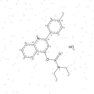 CCN(CC)C(=O)Oc1cc(-c2ccc(C)cc2)nc2ccccc12.Cl